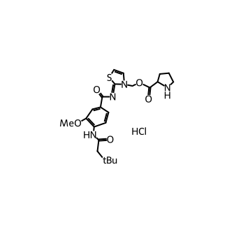 COc1cc(C(=O)N=c2sccn2COC(=O)C2CCCN2)ccc1NC(=O)CC(C)(C)C.Cl